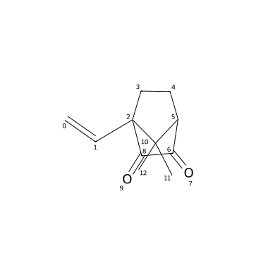 C=CC12CCC(C(=O)C1=O)C2(C)C